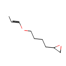 CC=COCCCCC1CO1